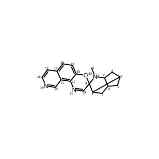 CN1C2CC3CC2CC3C12C=Nc1c(ccc3ccncc13)O2